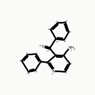 Nc1ccnc(-c2ccccc2)c1C(=O)c1ccccc1